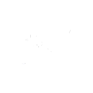 C/C=C\CCCCCCCC(=O)C(CCCCCC/C=C\C)C(=O)NC(CO)CO